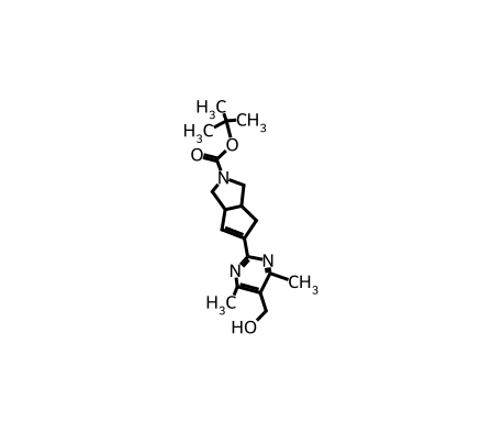 Cc1nc(C2=CC3CN(C(=O)OC(C)(C)C)CC3C2)nc(C)c1CO